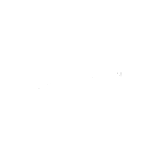 CCCCSC=N